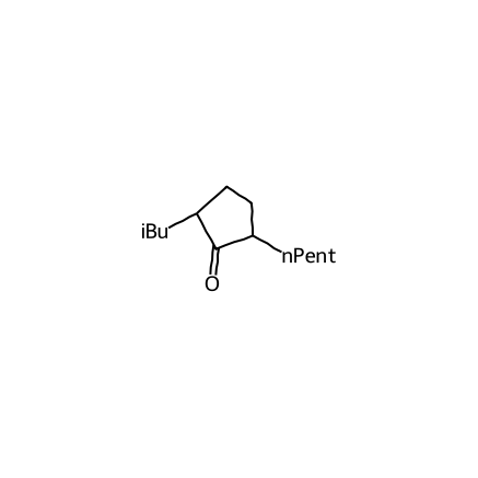 CCCCCC1CCC(C(C)CC)C1=O